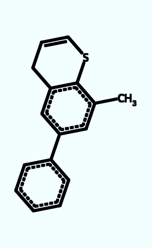 Cc1cc(-c2ccccc2)cc2c1SC=CC2